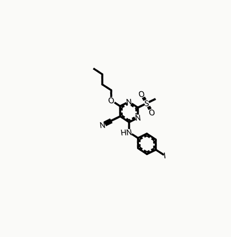 CCCCOc1nc(S(C)(=O)=O)nc(Nc2ccc(I)cc2)c1C#N